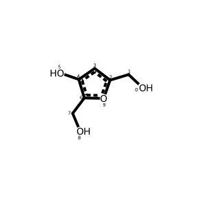 OCc1cc(O)c(CO)o1